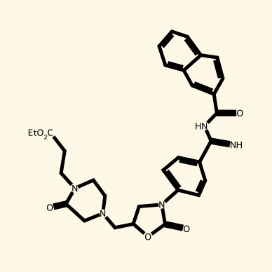 CCOC(=O)CCN1CCN(CC2CN(c3ccc(C(=N)NC(=O)c4ccc5ccccc5c4)cc3)C(=O)O2)CC1=O